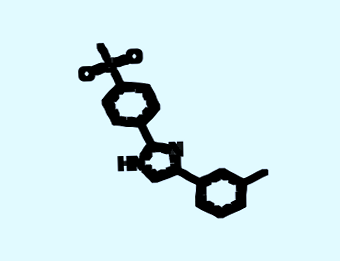 Cc1cccc(-c2c[nH]c(-c3ccc(S(C)(=O)=O)cc3)n2)c1